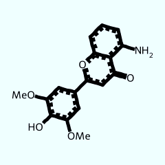 COc1cc(-c2cc(=O)c3c(N)cccc3o2)cc(OC)c1O